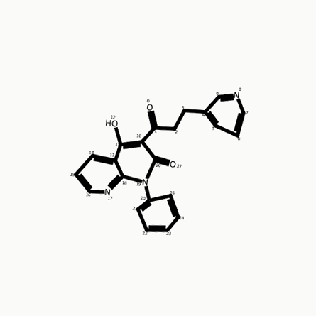 O=C(CCc1cccnc1)c1c(O)c2cccnc2n(-c2ccccc2)c1=O